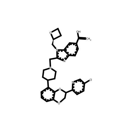 C=C(O)c1ccc2nc(CN3CCC(c4cccc5c4OC(c4ccc(Cl)cn4)CO5)CC3)n(C[C@@H]3CCO3)c2c1